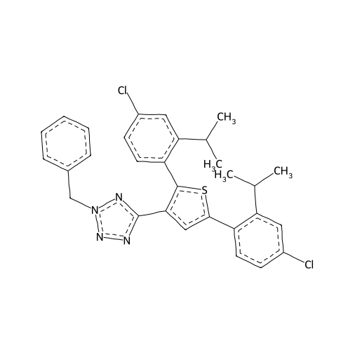 CC(C)c1cc(Cl)ccc1-c1cc(-c2nnn(Cc3ccccc3)n2)c(-c2ccc(Cl)cc2C(C)C)s1